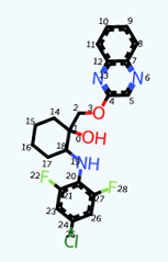 OC1(COc2cnc3ccccc3n2)CCCCC1Nc1c(F)cc(Cl)cc1F